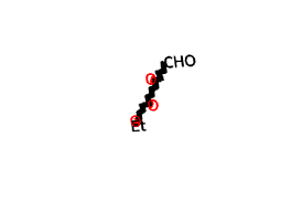 CCOCCCCC(=O)CCCCC(=O)CCCCC=O